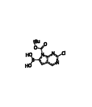 CC(C)(C)OC(=O)n1c(B(O)O)cc2cnc(Cl)nc21